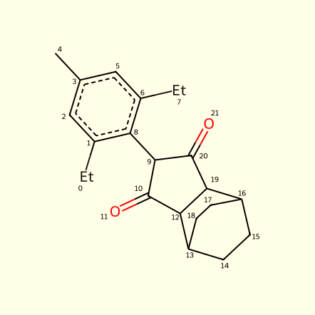 CCc1cc(C)cc(CC)c1C1C(=O)C2C3CCC(CC3)C2C1=O